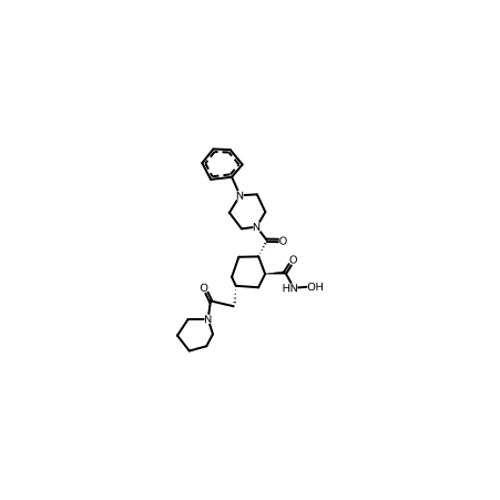 O=C(NO)[C@H]1C[C@H](CC(=O)N2CCCCC2)CC[C@@H]1C(=O)N1CCN(c2ccccc2)CC1